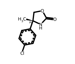 C[C@@]1(c2ccc(Cl)cc2)COC(=O)N1